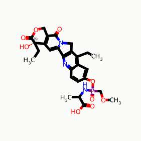 CCc1c2c(nc3ccc(OP(=O)(COC)NC(C)C(=O)O)cc13)-c1cc3c(c(=O)n1C2)COC(=O)[C@]3(O)CC